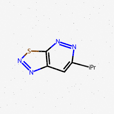 CC(C)c1cc2nnsc2nn1